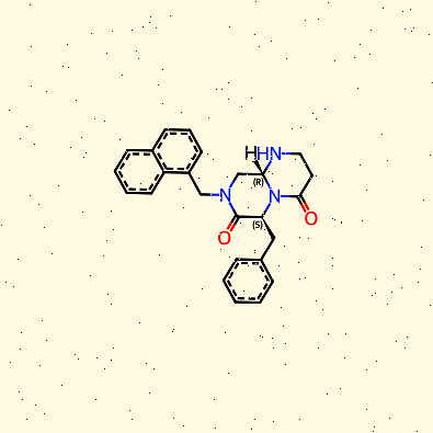 O=C1[C@H](Cc2ccccc2)N2C(=O)CCN[C@H]2CN1Cc1cccc2ccccc12